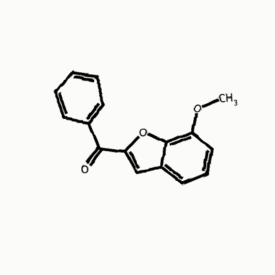 COc1cccc2cc(C(=O)c3ccccc3)oc12